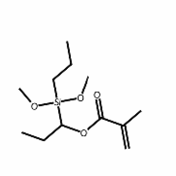 C=C(C)C(=O)OC(CC)[Si](CCC)(OC)OC